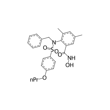 CCCOc1ccc(S(=O)(=O)N(Cc2ccccc2)c2c(C)cc(C)cc2C(=O)NO)cc1